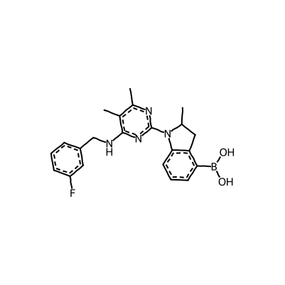 Cc1nc(N2c3cccc(B(O)O)c3CC2C)nc(NCc2cccc(F)c2)c1C